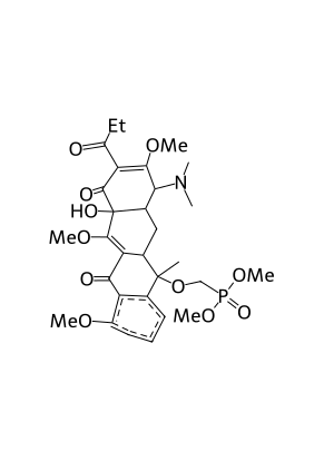 CCC(=O)C1=C(OC)C(N(C)C)C2CC3C(=C(OC)C2(O)C1=O)C(=O)c1c(OC)cccc1C3(C)OCP(=O)(OC)OC